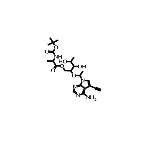 C#Cc1cn(C(C)OC(COC(=O)C(C)NC(=O)OC(C)(C)C)C(O)C(C)O)c2ncnc(N)c12